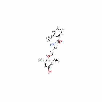 Cc1cc(O)cc(Cl)c1OCCCNC(=O)c1ccccc1C(F)(F)F